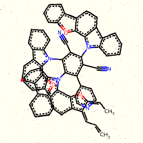 C=C/C=c1\c(=C/C)oc2c1ccc1c3ccccc3n(-c3c(-c4ccncc4)c(C#N)c(-n4c5ccccc5c5ccc6c7ccccc7oc6c54)c(C#N)c3-n3c4ccccc4c4ccc5c6ccccc6oc5c43)c12